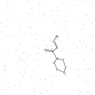 CC(=O)C=CC(=O)N1CCOCC1